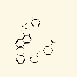 Cc1ccc2c(NS(=O)(=O)Cc3ccccc3F)c(F)ccc2c1Oc1ncccc1-c1ccnc(N[C@H]2C[C@@H](C)CN(C(=O)O)C2)n1